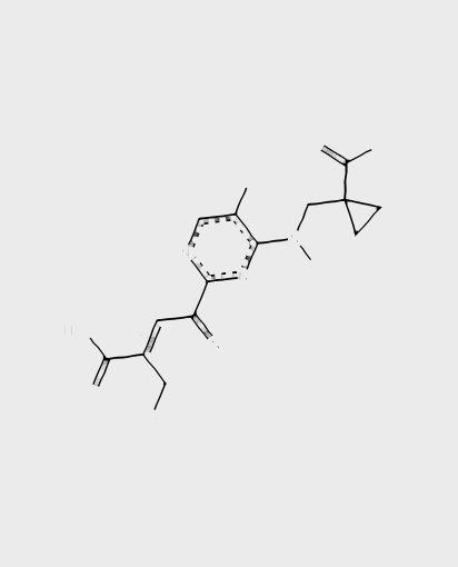 CC/C(=C\C(=N)c1ncc(F)c(N(C)CC2(C(=O)O)CC2)n1)C(C)=O